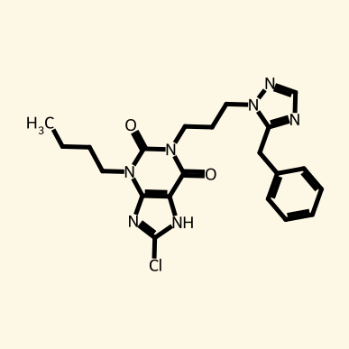 CCCCn1c(=O)n(CCCn2ncnc2Cc2ccccc2)c(=O)c2[nH]c(Cl)nc21